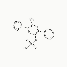 Cc1cc(-c2ccccc2)c(NS(=O)(=O)O)cc1-c1ncco1